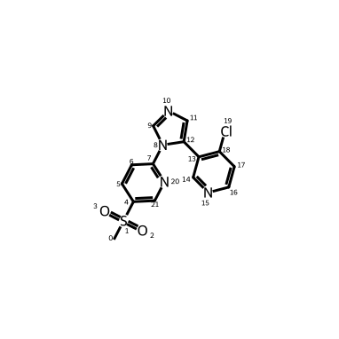 CS(=O)(=O)c1ccc(-n2cncc2-c2cnccc2Cl)nc1